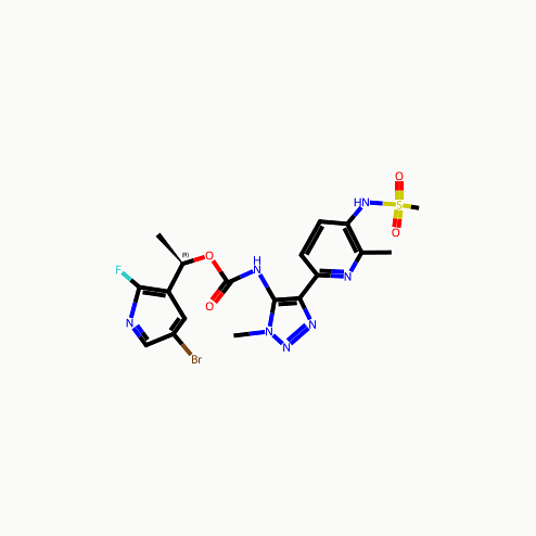 Cc1nc(-c2nnn(C)c2NC(=O)O[C@H](C)c2cc(Br)cnc2F)ccc1NS(C)(=O)=O